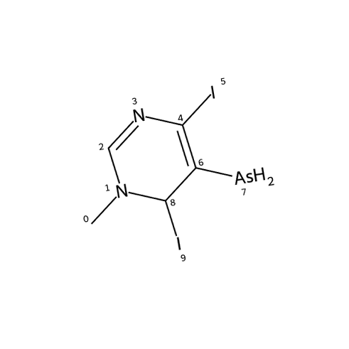 CN1C=NC(I)=C([AsH2])C1I